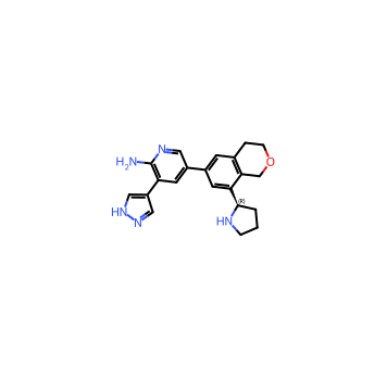 Nc1ncc(-c2cc3c(c([C@H]4CCCN4)c2)COCC3)cc1-c1cn[nH]c1